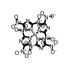 O=[N+]([O-])c1nc([N+](=O)[O-])[n]([Al-]([n]2nc([N+](=O)[O-])nc2[N+](=O)[O-])([n]2nc([N+](=O)[O-])nc2[N+](=O)[O-])[n]2nc([N+](=O)[O-])nc2[N+](=O)[O-])n1